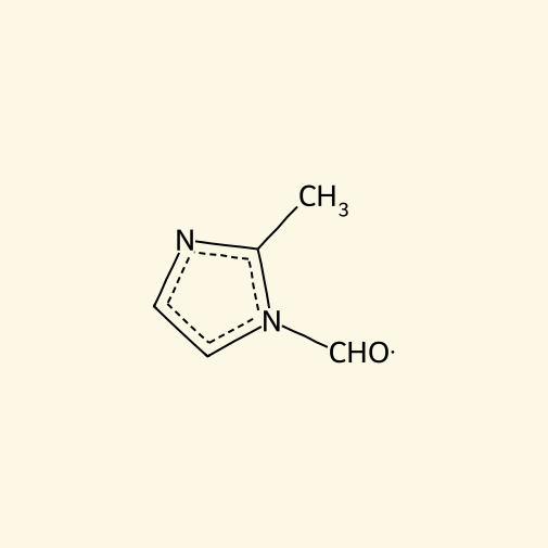 Cc1nccn1[C]=O